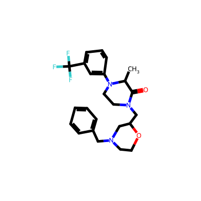 CC1C(=O)N(CC2CN(Cc3ccccc3)CCO2)CCN1c1cccc(C(F)(F)F)c1